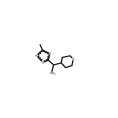 Cc1noc(C(N)C2CCOCC2)n1